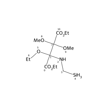 CCOC(=O)C(NC[SiH3])(OCC)C(OC)(OC)C(=O)OCC